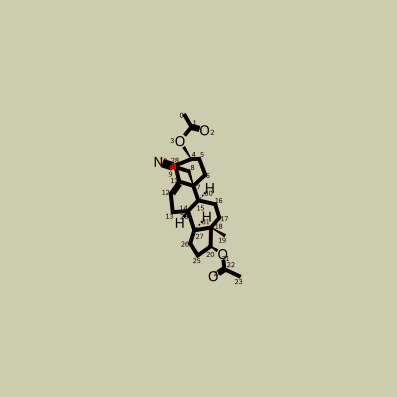 CC(=O)O[C@H]1CC[C@@]2(CC#N)C(=CC[C@@H]3[C@@H]2CC[C@]2(C)[C@@H](OC(C)=O)CC[C@@H]32)C1